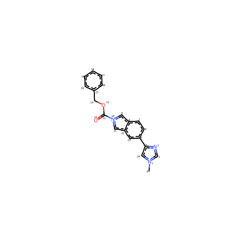 Cn1cnc(-c2ccc3cn(C(=O)OCc4ccccc4)cc3c2)c1